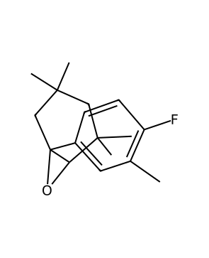 Cc1cc(C23CC(C)(C)CC(C)(C)C2O3)ccc1F